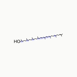 CC(C)=CCC/C(C)=C/CC/C(C)=C/C=C/C(C)=C/C=C/C=C(\C)CC/C=C(\C)CC/C=C(\C)CC/C=C(\C)CO